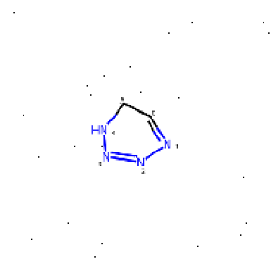 C1=NN=NNC1